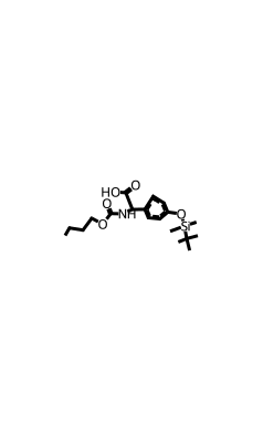 CCCCOC(=O)NC(C(=O)O)c1ccc(O[Si](C)(C)C(C)(C)C)cc1